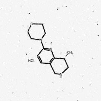 C[C@@H]1CNCc2ccc(N3CCOCC3)nc21.Cl